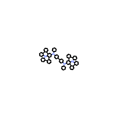 c1ccc(N(c2ccc(-c3ccc(N(c4ccccc4)c4cc5c6c(c4)-c4ccccc4-c4ccccc4N6c4ccccc4-c4ccccc4-5)cc3)cc2)c2cc3c4c(c2)-c2ccccc2-c2ccccc2N4c2ccccc2-c2ccccc2-3)cc1